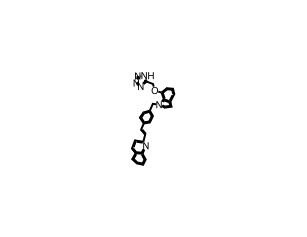 C(=C\c1ccc2ccccc2n1)/c1ccc(Cn2ccc3cccc(OCc4nnn[nH]4)c32)cc1